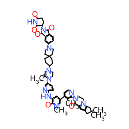 Cc1c(-c2cc(Nc3ccc(N4CCN(C5CCC6(CC5)CCN(c5ccc7c(c5)C(=O)N(C5CCC(=O)NC5=O)C7=O)CC6)C[C@@H]4C)cn3)c(=O)n(C)c2)ccnc1N1CCn2c(cc3c2CC(C)(C)C3)C1=O